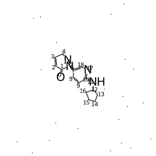 O=c1cccnn1-c1ccc(NC2CCCC2)nc1